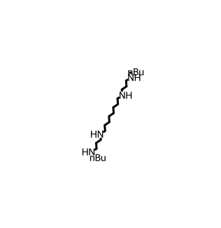 CCCCNCCCNCCCCCCCCNCCCNCCCC